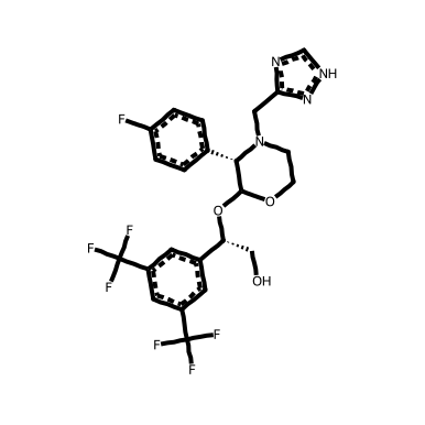 OC[C@@H](OC1OCCN(Cc2nc[nH]n2)[C@H]1c1ccc(F)cc1)c1cc(C(F)(F)F)cc(C(F)(F)F)c1